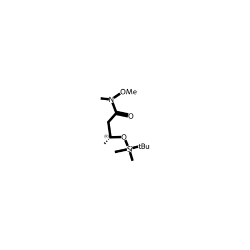 CON(C)C(=O)C[C@@H](C)O[Si](C)(C)C(C)(C)C